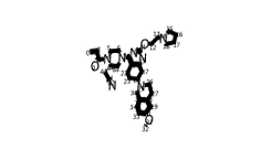 C=CC(=O)N1CCN(c2nc(OCCN3CCCC3)nc3c2CCC(N2CCc4cc(OC)ccc4C2)C3)C[C@@H]1CC#N